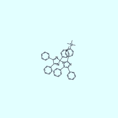 Cc1ccc(C2(n3c(-c4ccc([Si](C)(C)C)cc4)nc(-c4ccccc4)c3-c3ccccc3)N=C(c3ccccc3)C(c3ccccc3)=N2)cc1